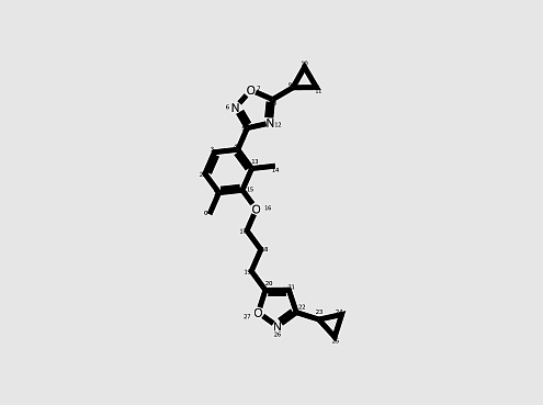 Cc1ccc(-c2noc(C3CC3)n2)c(C)c1OCCCc1cc(C2CC2)no1